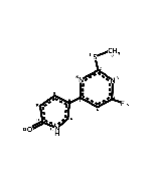 CSc1nc(F)cc(-c2ccc(=O)[nH]c2)n1